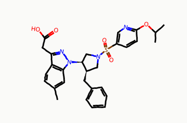 Cc1ccc2c(CC(=O)O)nn([C@H]3CN(S(=O)(=O)c4ccc(OC(C)C)nc4)C[C@H]3Cc3ccccc3)c2c1